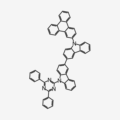 c1ccc(-c2nc(-c3ccccc3)nc(-n3c4ccccc4c4cc(-c5ccc6c(c5)c5ccccc5n6-c5ccc6c7ccccc7c7ccccc7c6c5)ccc43)n2)cc1